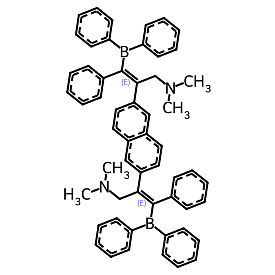 CN(C)C/C(=C(\B(c1ccccc1)c1ccccc1)c1ccccc1)c1ccc2cc(/C(CN(C)C)=C(/B(c3ccccc3)c3ccccc3)c3ccccc3)ccc2c1